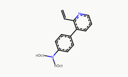 C=Cc1ncccc1-c1ccc(N(CCCCCCCC)CCCCCCCC)cc1